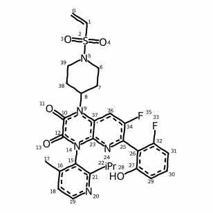 C=CS(=O)(=O)N1CCC(n2c(=O)c(=O)n(-c3c(C)ccnc3C(C)C)c3nc(-c4c(O)cccc4F)c(F)cc32)CC1